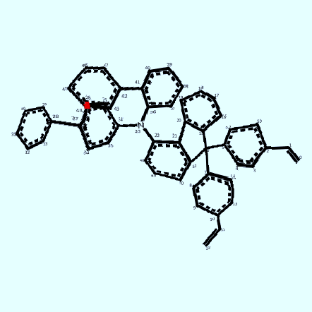 C=Cc1ccc(C2(c3ccc(C=C)cc3)c3ccccc3-c3c(N(c4ccc(-c5ccccc5)cc4)c4ccccc4-c4ccccc4)cccc32)cc1